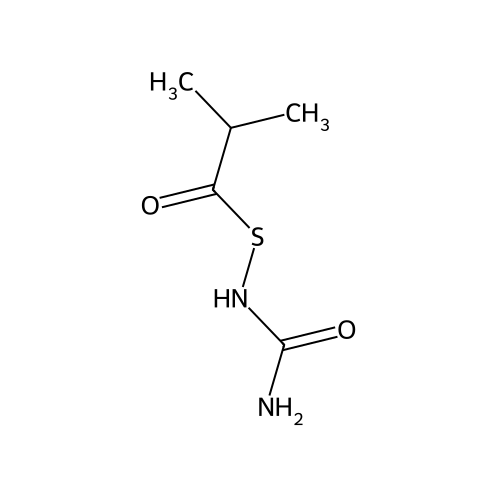 CC(C)C(=O)SNC(N)=O